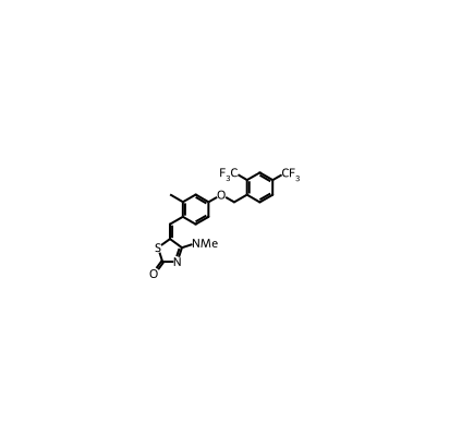 CNC1=NC(=O)SC1=Cc1ccc(OCc2ccc(C(F)(F)F)cc2C(F)(F)F)cc1C